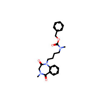 CN(CCCCN1C(=O)CN(C)C(=O)c2ccccc21)C(=O)OCc1ccccc1